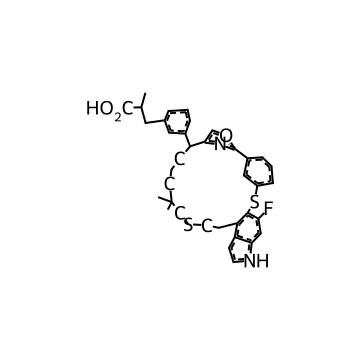 CC(Cc1cccc(C2CCCC(C)(C)CSCCc3c(c(F)cc4[nH]ccc34)Sc3cccc(c3)-c3nc2co3)c1)C(=O)O